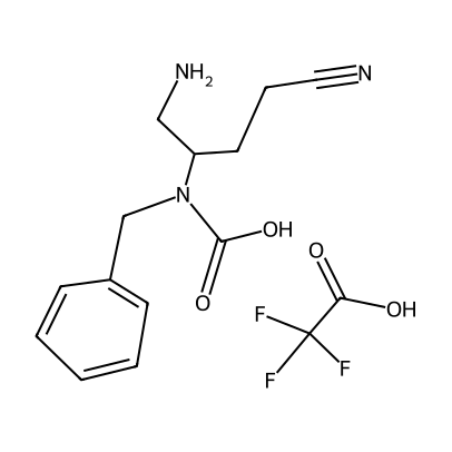 N#CCCC(CN)N(Cc1ccccc1)C(=O)O.O=C(O)C(F)(F)F